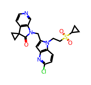 O=C1N(Cc2cc3nc(Cl)ccc3n2CCS(=O)(=O)C2CC2)c2cnccc2C12CC2